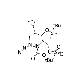 CC(C)(C)OC(=O)NC(COS(C)(=O)=O)C(O[Si](C)(C)C(C)(C)C)C(CN=[N+]=[N-])C1CC1